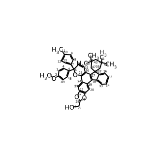 COc1ccc(C2(c3ccc(C)cc3)C=Cc3c4c(c5cc6c(cc5c3O2)OC(CO)O6)-c2ccccc2C42CC(C)(C)CC(C)(C)C2)cc1